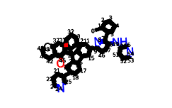 Cc1ccccc1-c1nc(-c2ccc3c(c2)-c2ccc(-c4cccnc4)c4c2C3(c2ccccc2)c2ccc3ccccc3c2O4)ccc1Nc1cccnc1